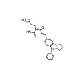 O=C(O)CCN(C(=O)/C=C/c1ccc2c(c1)C1CCCC1N2c1ccccc1)C(=S)S